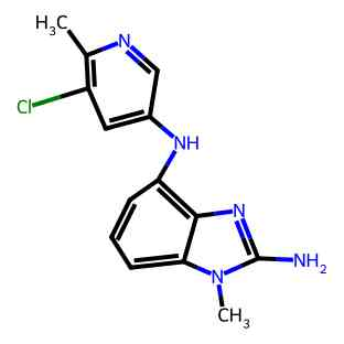 Cc1ncc(Nc2cccc3c2nc(N)n3C)cc1Cl